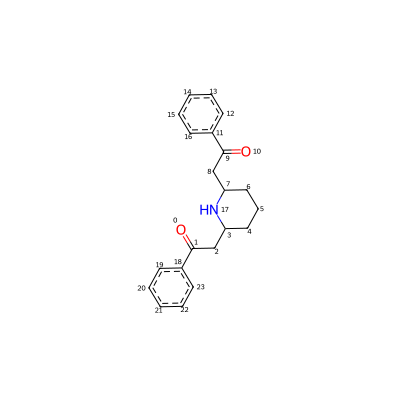 O=C(CC1CCCC(CC(=O)c2ccccc2)N1)c1ccccc1